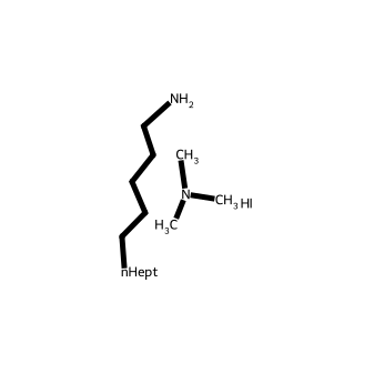 CCCCCCCCCCCCN.CN(C)C.I